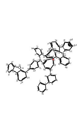 c1ccc(-c2cccc(-c3cccc(N(c4ccc(-c5cccc6c5oc5ccccc56)cc4)c4ccccc4-c4ccc(-c5ccccc5-n5c6ccccc6c6ccccc65)cc4)c3)c2)cc1